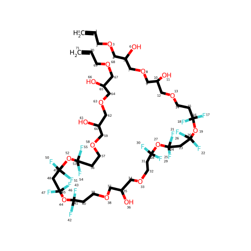 C=CCOCC(O)COCC(O)COCCC(F)(F)OC(F)(F)CC(F)(F)OC(F)(F)CCOCC(O)COCCC(F)(F)OC(F)(F)CC(F)(F)OC(F)(F)CCOCC(O)COCC(O)COCC=C